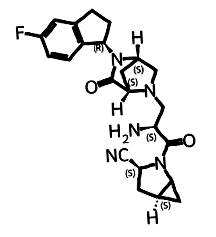 N#C[C@@H]1C[C@@H]2CC2N1C(=O)[C@@H](N)CN1C[C@@H]2C[C@H]1C(=O)N2[C@@H]1CCc2cc(F)ccc21